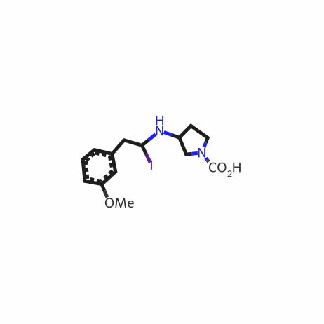 COc1cccc(CC(I)NC2CCN(C(=O)O)C2)c1